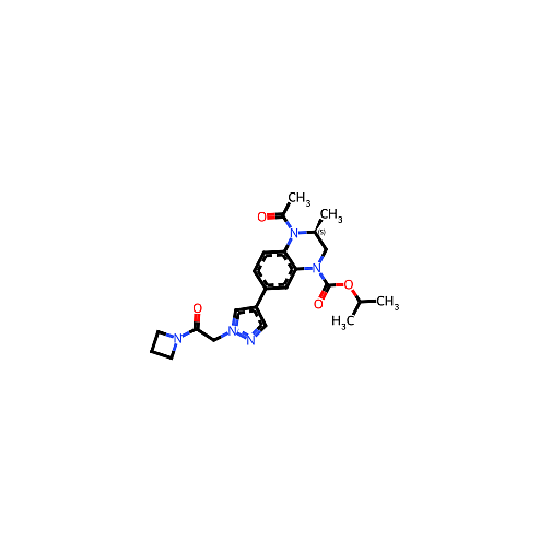 CC(=O)N1c2ccc(-c3cnn(CC(=O)N4CCC4)c3)cc2N(C(=O)OC(C)C)C[C@@H]1C